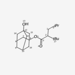 CC(C)CC(C(=O)OC12CC3CC(CC(O)(C3)C1)C2)C(C)(C)C